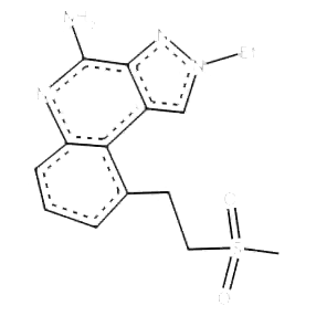 CCn1cc2c(n1)c(N)nc1cccc(CCS(C)(=O)=O)c12